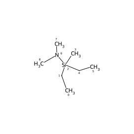 CC[Si](C)(CC)N(C)C